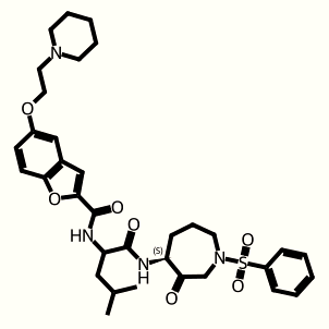 CC(C)CC(NC(=O)c1cc2cc(OCCN3CCCCC3)ccc2o1)C(=O)N[C@H]1CCCN(S(=O)(=O)c2ccccc2)CC1=O